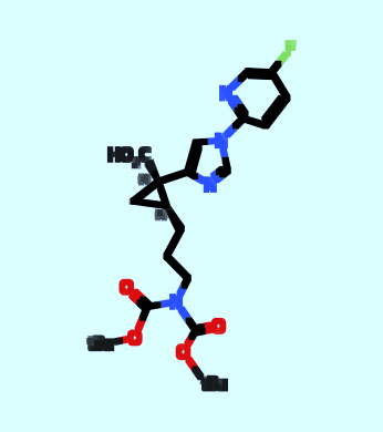 CC(C)(C)OC(=O)N(CCC[C@H]1C[C@]1(C(=O)O)c1cn(-c2ccc(F)cn2)cn1)C(=O)OC(C)(C)C